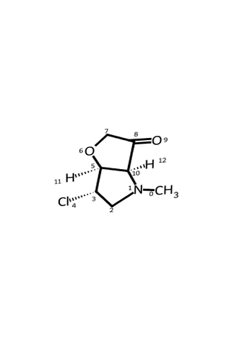 CN1C[C@H](Cl)[C@H]2OCC(=O)[C@H]21